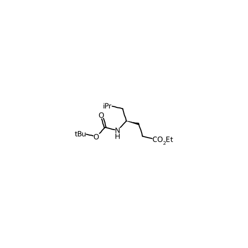 CCOC(=O)CC[C@H](CC(C)C)NC(=O)OC(C)(C)C